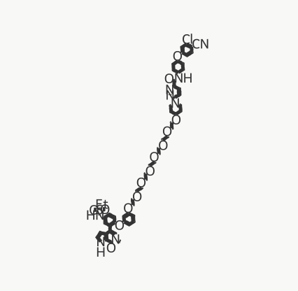 CCS(=O)(=O)Nc1ccc(Oc2cccc(OCCOCCOCCOCCOCCOCCOCCOC3CCN(c4ccc(C(=O)NC5CCC(Oc6ccc(C#N)c(Cl)c6)CC5)nn4)CC3)c2)c(-c2cn(C)c(=O)c3[nH]ccc23)c1